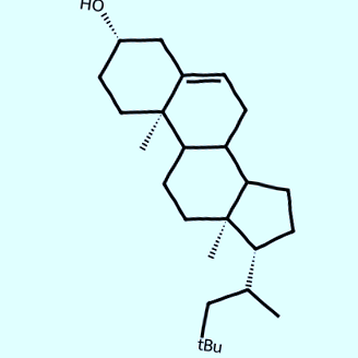 CC(CC(C)(C)C)[C@H]1CCC2C3CC=C4C[C@@H](O)CC[C@]4(C)C3CC[C@@]21C